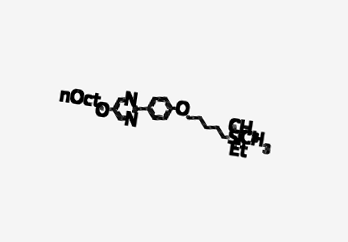 CCCCCCCCOc1cnc(-c2ccc(OCCCCC[Si](C)(C)CC)cc2)nc1